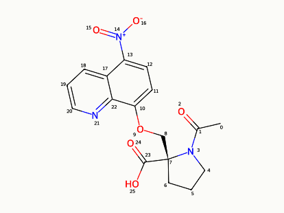 CC(=O)N1CCC[C@]1(COc1ccc([N+](=O)[O-])c2cccnc12)C(=O)O